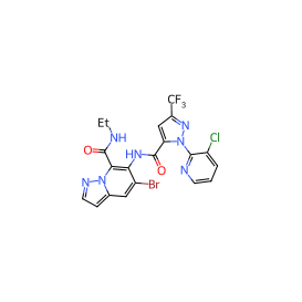 CCNC(=O)c1c(NC(=O)c2cc(C(F)(F)F)nn2-c2ncccc2Cl)c(Br)cc2ccnn12